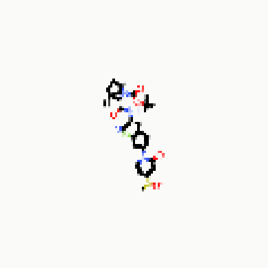 C[S+]([O-])c1ccn(-c2ccc(C[C@@H](C#N)NC(=O)[C@@H]3[C@H]4CC[C@H](C4)N3C(=O)OC(C)(C)C)c(F)c2)c(=O)c1